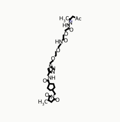 CC(=O)C/C(C)=N/NC(=O)COCC(=O)NCCOCCOCCn1cc(CNC(=O)C2CCC(CN3C(=O)CC(C)C3=O)CC2)nn1